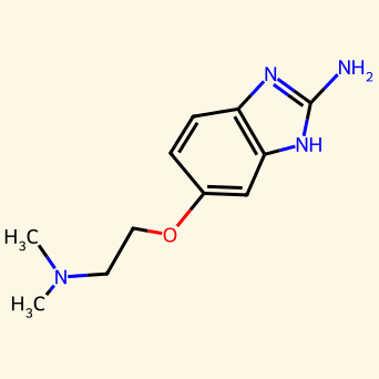 CN(C)CCOc1ccc2nc(N)[nH]c2c1